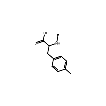 Cc1ccc(CC(NF)C(=O)O)cc1